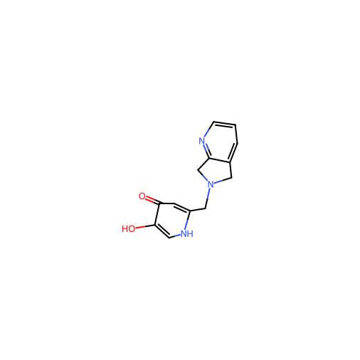 O=c1cc(CN2Cc3cccnc3C2)[nH]cc1O